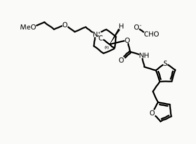 COCCOCC[N+]12CCC(CC1)[C@@H](OC(=O)NCc1sccc1Cc1ccco1)C2.O=C[O-]